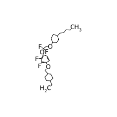 C=CC1CCC(COc2ccc(OC(F)(F)COC3CCC(CCCCC)CC3)c(F)c2F)CC1